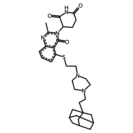 Cc1nc2cccc(SCCN3CCN(CCC45CC6CC(CC(C6)C4)C5)CC3)c2c(=O)n1C1CCC(=O)NC1=O